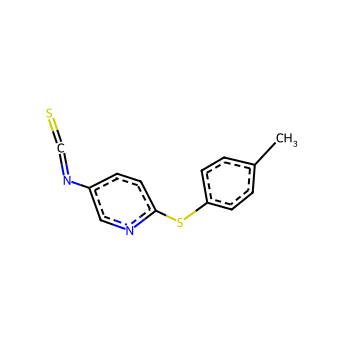 Cc1ccc(Sc2ccc(N=C=S)cn2)cc1